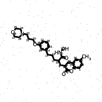 Cc1ccc2oc(=O)c(CC(CCCc3cccc(OCCCN4CCOCC4)c3)C(=O)NO)cc2c1